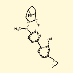 CN(c1ccc(-c2ccc(C3CC3)cc2O)nn1)[C@@H]1CC2CCC(N2)[C@@H]1F